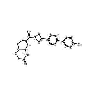 O=C1COC2CCN(C(=O)N3CC(c4ccc(-c5ccc(Cl)cc5)cc4)C3)CC2N1